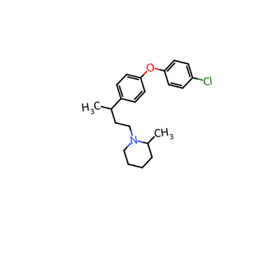 CC(CCN1CCCCC1C)c1ccc(Oc2ccc(Cl)cc2)cc1